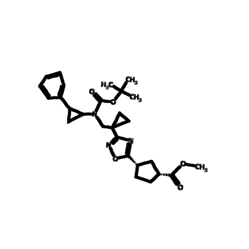 COC(=O)[C@@H]1CC[C@H](c2nc(C3(CN(C(=O)OC(C)(C)C)C4CC4c4ccccc4)CC3)no2)C1